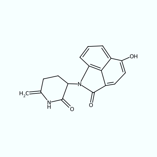 C=C1CCC(N2C(=O)c3ccc(O)c4cccc2c34)C(=O)N1